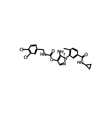 Cc1ccc(C(=O)NC2CC2)cc1-n1ncc(OC(=O)NCc2ccc(Cl)c(Cl)c2)c1N